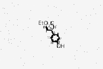 C=C[C@@H](CC(=O)OCC)c1ccc(O)cc1